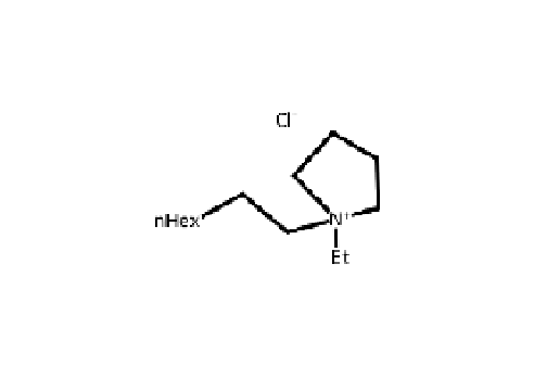 CCCCCCCC[N+]1(CC)CCCC1.[Cl-]